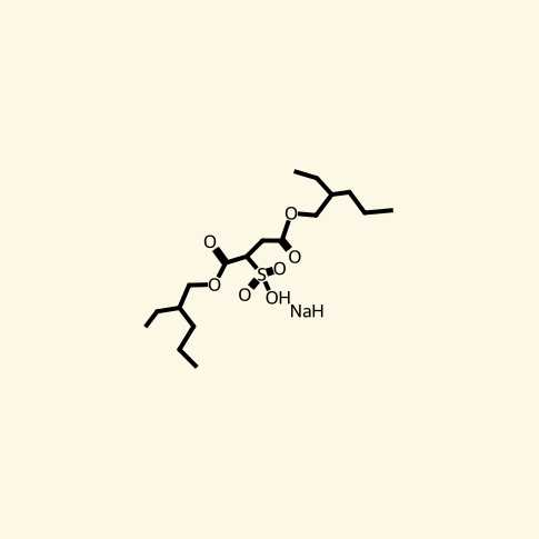 CCCC(CC)COC(=O)CC(C(=O)OCC(CC)CCC)S(=O)(=O)O.[NaH]